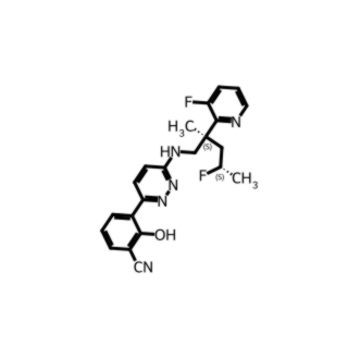 C[C@H](F)C[C@@](C)(CNc1ccc(-c2cccc(C#N)c2O)nn1)c1ncccc1F